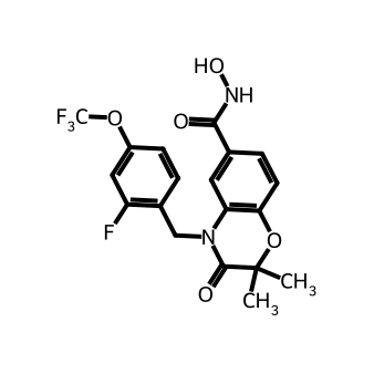 CC1(C)Oc2ccc(C(=O)NO)cc2N(Cc2ccc(OC(F)(F)F)cc2F)C1=O